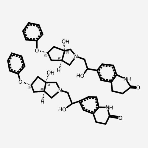 O=C1CCc2cc(C(O)CN3C[C@H]4C[C@H](Oc5ccccc5)C[C@@]4(O)C3)ccc2N1.O=C1CCc2cc(C(O)CN3C[C@H]4C[C@H](Oc5ccccc5)C[C@@]4(O)C3)ccc2N1